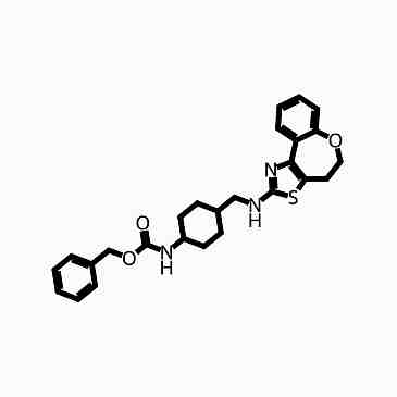 O=C(NC1CCC(CNc2nc3c(s2)CCOc2ccccc2-3)CC1)OCc1ccccc1